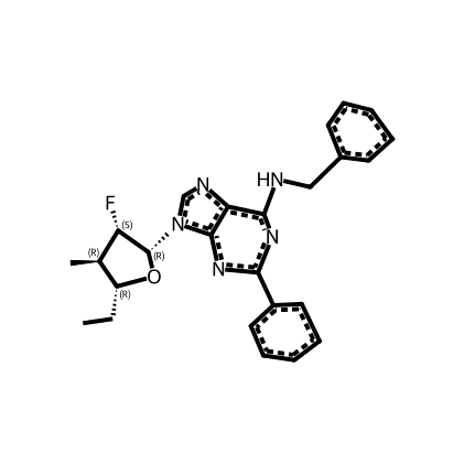 CC[C@H]1O[C@@H](n2cnc3c(NCc4ccccc4)nc(-c4ccccc4)nc32)[C@@H](F)[C@@H]1C